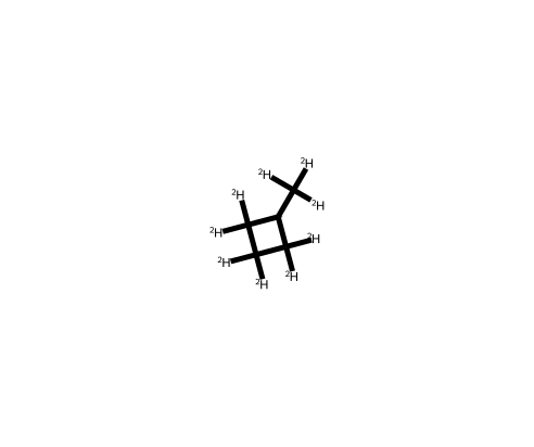 [2H]C([2H])([2H])[C]1C([2H])([2H])C([2H])([2H])C1([2H])[2H]